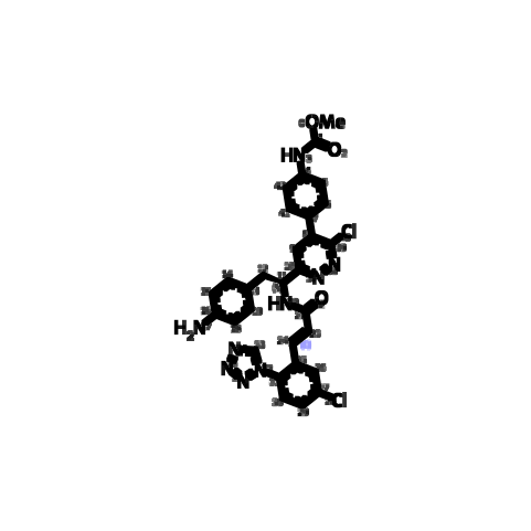 COC(=O)Nc1ccc(-c2cc([C@H](Cc3ccc(N)cc3)NC(=O)/C=C/c3cc(Cl)ccc3-n3cnnn3)nnc2Cl)cc1